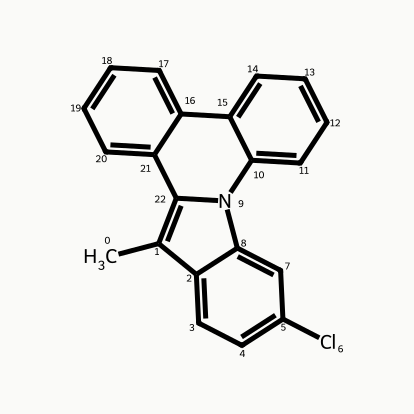 Cc1c2ccc(Cl)cc2n2c3ccccc3c3ccccc3c12